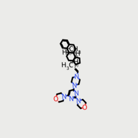 C[C@]12CC[C@H]3[C@@H](CCC4=C=CC=C[C@@]43C)[C@@H]1CC[C@@H]2C=CN1CCN(c2cc(N3CCOCC3)nc(N3CCOCC3)n2)CC1